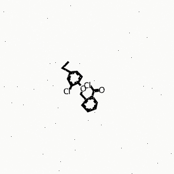 CCc1ccc(OCc2ccccc2C(=O)Cl)c(Cl)c1